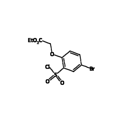 CCOC(=O)COc1ccc(Br)cc1S(=O)(=O)Cl